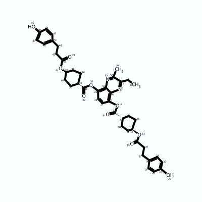 CCc1nc2c(OC(=O)[C@H]3CC[C@H](OC(=O)CCc4ccc(O)cc4)CC3)ccc(OC(=O)[C@H]3CC[C@H](OC(=O)CCc4ccc(O)cc4)CC3)c2nc1C